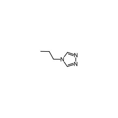 CCCn1cnnc1